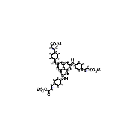 CCOOC(=O)/C=C/c1ccc(NC2=NC3=NC(Nc4ccc(/C=C/C(=O)OCC)cc4)=NC4=NC(Nc5ccc(/C=C/C(=O)OCC)cc5)=NC(=N2)N43)cc1